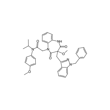 COc1ccc(N(C(=O)CN2C(=O)C(Cc3nn(Cc4ccccc4)c4ccccc34)(OC)C(=O)Nc3ccccc32)C(C)C)cc1